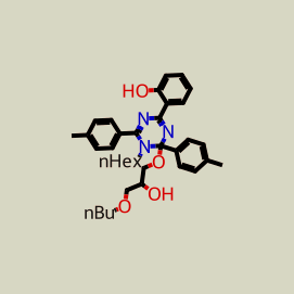 CCCCCCN1C(c2ccc(C)cc2)=NC(c2ccccc2O)=NC1(OCC(O)COCCCC)c1ccc(C)cc1